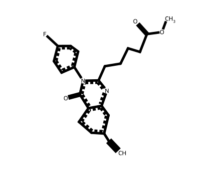 C#Cc1ccc2c(=O)n(-c3ccc(F)cc3)c(CCCCC(=O)OC)nc2c1